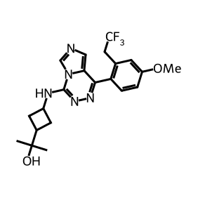 COc1ccc(-c2nnc(NC3CC(C(C)(C)O)C3)n3cncc23)c(CC(F)(F)F)c1